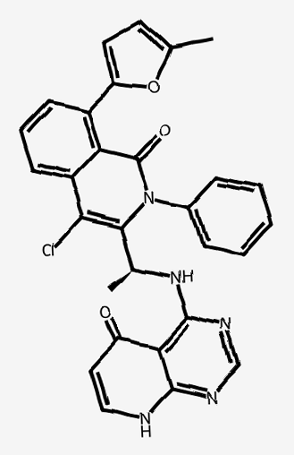 Cc1ccc(-c2cccc3c(Cl)c([C@H](C)Nc4ncnc5[nH]ccc(=O)c45)n(-c4ccccc4)c(=O)c23)o1